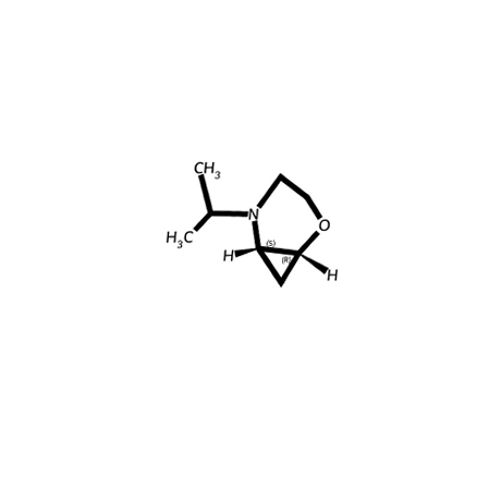 CC(C)N1CCO[C@@H]2C[C@@H]21